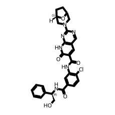 O=C(N[C@@H](CO)c1ccccc1)c1ccc(Cl)c(NC(=O)c2cc3cnc(N4CC5CC[C@@H](C4)O5)nc3[nH]c2=O)c1